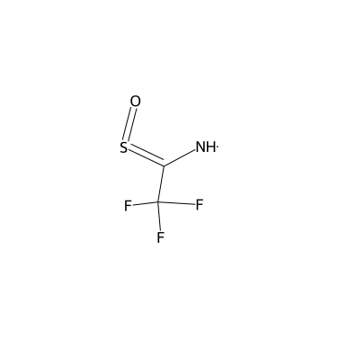 [NH]C(=S=O)C(F)(F)F